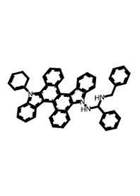 C1=CCCC(n2c3ccccc3c3c4c5ccccc5c5c(c6ccccc6n5NC(NCc5ccccc5)c5ccccc5)c4c4ccccc4c32)=C1